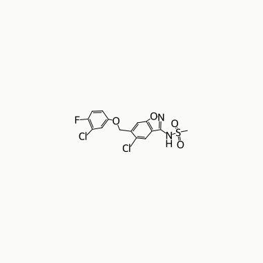 CS(=O)(=O)Nc1noc2cc(COc3ccc(F)c(Cl)c3)c(Cl)cc12